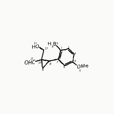 Bc1ccc(OC)cc1C1CC1(C=O)CO